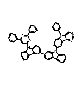 c1ccc(-c2cc(-n3c4ccccc4c4cc(-c5ccc6c7ccccc7n(-c7ccc8c(c7)c7ncncc7n8-c7ccccc7)c6c5)ccc43)nc(-c3ccccc3)n2)cc1